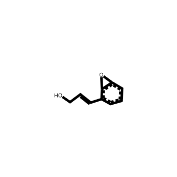 OCC=Cc1cccc2c1O2